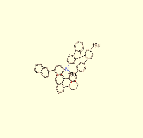 CC(C)(C)c1ccc2c(c1)C1(c3ccccc3-c3ccc(N(c4ccc(-c5ccc6ccccc6c5)cc4)c4ccccc4-c4cccc5cccc(C6CCCCC6)c45)cc31)c1cc(C(C)(C)C)ccc1-2